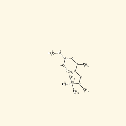 COC(CC(C)CCC(C)C(C)(C)S)OC